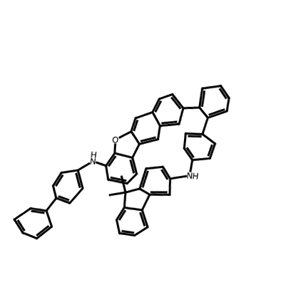 CC1(C)c2ccccc2-c2cc(Nc3ccc(-c4ccccc4-c4ccc5cc6oc7c(Nc8ccc(-c9ccccc9)cc8)cccc7c6cc5c4)cc3)ccc21